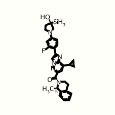 C[C@@H]1c2ccccc2CCN1C(=O)c1cc(C2CC2)c2nc(-c3ccc(N4CC[C@](O)([SiH3])C4)cc3F)cn2n1